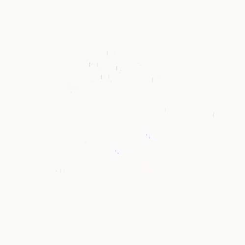 BC(B)(B)c1cc2c3c4c5c(cc(C(B)(B)B)c14)B(c1c(C)cccc1C)c1ccccc1N5C(=O)N3c1ccccc1B2c1c(C)cccc1C